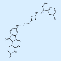 N=C/C(=C\NC1CC(CCCNc2ccc3c(c2)C(=O)N(C2CCC(=O)NC2=O)C3=O)C1)c1cc(Cl)ccn1